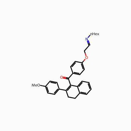 CCCCCCN=CCOc1ccc(C(=O)C2=C(c3ccc(OC)cc3)CCc3ccccc32)cc1